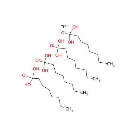 CCCCCCCC([O-])(O)O.CCCCCCCC([O-])(O)O.CCCCCCCC([O-])(O)O.CCCCCCCC([O-])(O)O.[Ti+4]